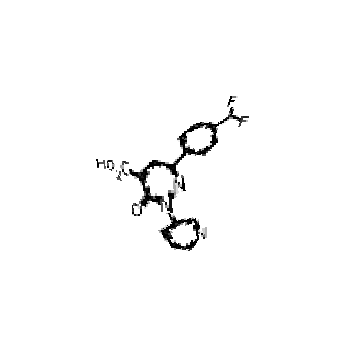 O=C(O)c1cc(-c2ccc(C(F)F)cc2)nn(-c2cccnc2)c1=O